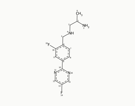 CC(N)CNCc1ccc(-c2ncc(F)cn2)cc1F